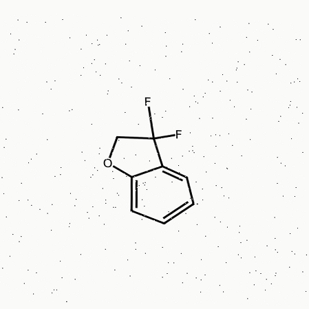 FC1(F)COc2cc[c]cc21